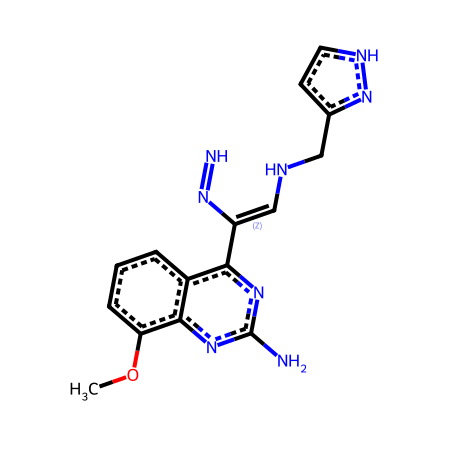 COc1cccc2c(/C(=C/NCc3cc[nH]n3)N=N)nc(N)nc12